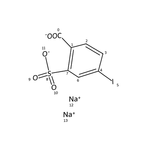 O=C([O-])c1ccc(I)cc1S(=O)(=O)[O-].[Na+].[Na+]